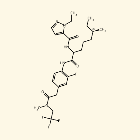 CC[C@@H](C)CCCC(NC(=O)c1ccnn1CC)C(=O)Nc1ccc(CC(=O)N(C)CC(F)(F)F)cc1F